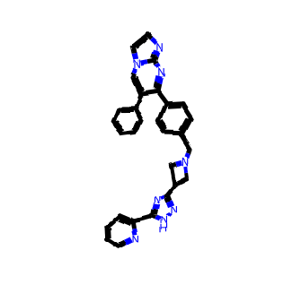 c1ccc(-c2cn3ccnc3nc2-c2ccc(CN3CC(c4n[nH]c(-c5ccccn5)n4)C3)cc2)cc1